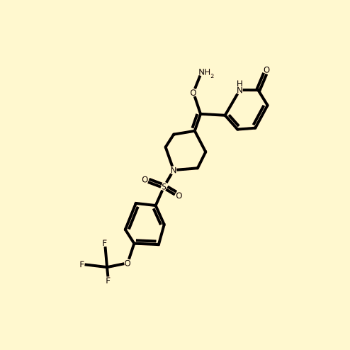 NOC(=C1CCN(S(=O)(=O)c2ccc(OC(F)(F)F)cc2)CC1)c1cccc(=O)[nH]1